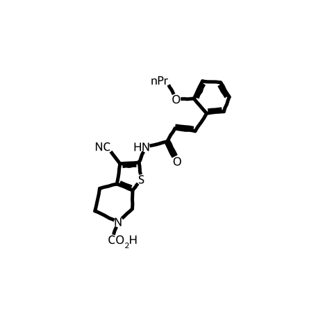 CCCOc1ccccc1C=CC(=O)Nc1sc2c(c1C#N)CCN(C(=O)O)C2